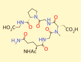 CC(=O)N[C@@H](CCC(N)=O)C(=O)NCC(=O)N(C)[C@@H](CC(=O)O)C(=O)NCC(=O)N1CCC[C@H]1C(=O)NCC(=O)O